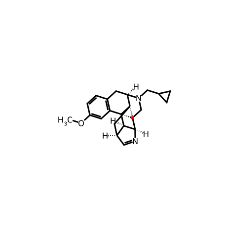 COc1ccc2c(c1)[C@@]13CCN(CC4CC4)[C@H](C2)[C@]12CC[C@H]1N=C[C@@H](C2)[C@H]13